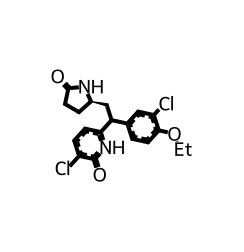 CCOc1ccc(C(C[C@H]2CCC(=O)N2)c2ccc(Cl)c(=O)[nH]2)cc1Cl